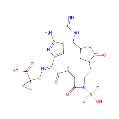 N=CNCC1CN(CC2C(NC(=O)/C(=N\OC3(C(=O)O)CC3)c3csc(N)n3)C(=O)N2S(=O)(=O)O)C(=O)O1